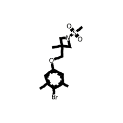 Cc1cc(OCC2(C)CN(S(C)(=O)=O)C2)cc(C)c1Br